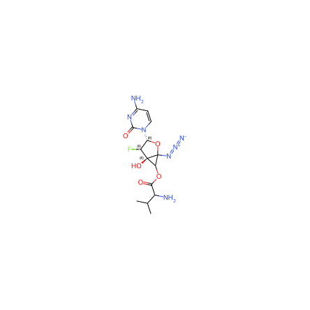 CC(C)C(N)C(=O)OC1C2(N=[N+]=[N-])O[C@@H](n3ccc(N)nc3=O)[C@H](F)[C@@]12O